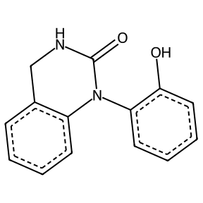 O=C1NCc2ccccc2N1c1ccccc1O